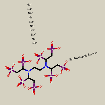 O=P([O-])([O-])CC(N(CCN(C(CP(=O)([O-])[O-])P(=O)([O-])[O-])C(CP(=O)([O-])[O-])P(=O)([O-])[O-])C(CP(=O)([O-])[O-])P(=O)([O-])[O-])P(=O)([O-])[O-].[Na+].[Na+].[Na+].[Na+].[Na+].[Na+].[Na+].[Na+].[Na+].[Na+].[Na+].[Na+].[Na+].[Na+].[Na+].[Na+]